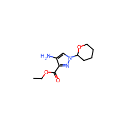 CCOC(=O)c1nn(C2CCCCO2)cc1N